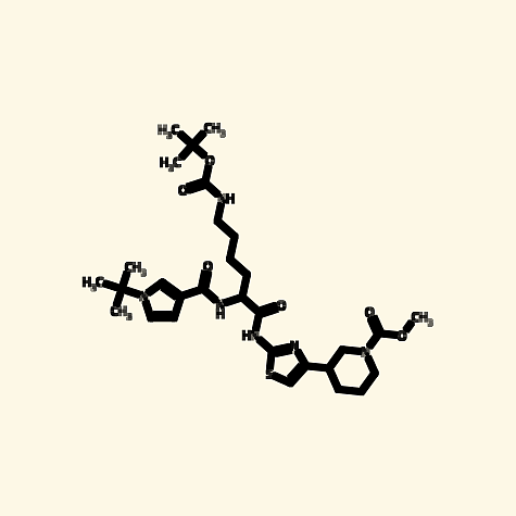 COC(=O)N1CCCC(c2csc(NC(=O)C(CCCCNC(=O)OC(C)(C)C)NC(=O)c3ccn(C(C)(C)C)c3)n2)C1